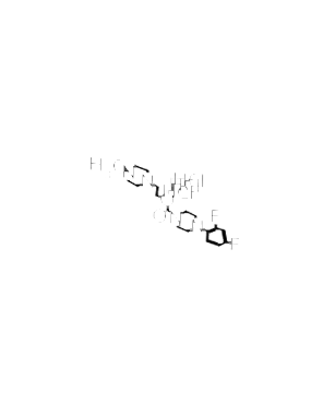 CN1CCN(CCOC(=O)N2CCN(c3ccc(F)cc3F)CC2)CC1.Cl.Cl.Cl